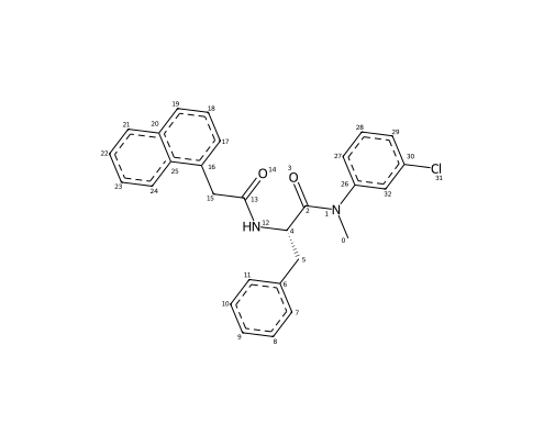 CN(C(=O)[C@H](Cc1ccccc1)NC(=O)Cc1cccc2ccccc12)c1cccc(Cl)c1